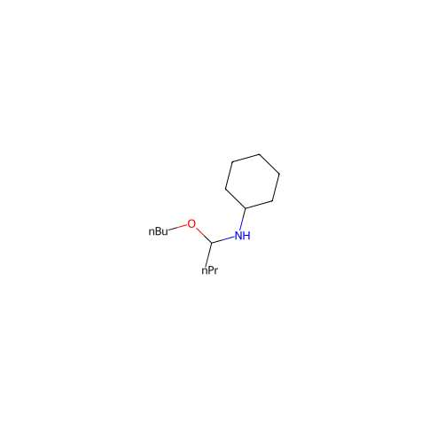 CCCCOC(CCC)NC1CCCCC1